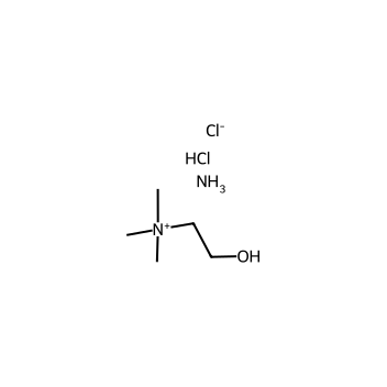 C[N+](C)(C)CCO.Cl.N.[Cl-]